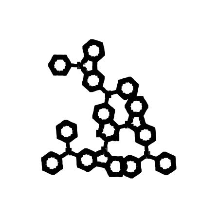 c1ccc(N(c2ccc3nc(-n4c5ccccc5c5ccc(N(c6ccccc6)c6ccccc6)cc54)nc(-n4c5ccccc5c5ccc(N(c6ccccc6)c6ccccc6)cc54)c3c2)c2ccc3c(c2)c2ccccc2n3-c2ccccc2)cc1